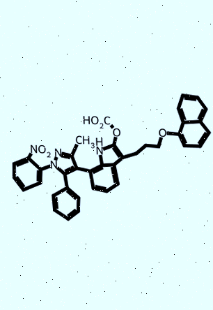 Cc1nn(-c2ccccc2[N+](=O)[O-])c(-c2ccccc2)c1-c1cccc2c(CCCOc3cccc4ccccc34)c(OC(=O)O)[nH]c12